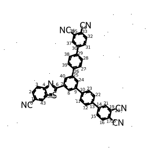 N#Cc1ccc2nc(-c3cc(-c4ccc(-c5ccc(C#N)c(C#N)c5)cc4)cc(-c4ccc(-c5ccc(C#N)c(C#N)c5)cc4)c3)sc2c1